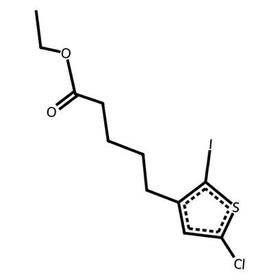 CCOC(=O)CCCCc1cc(Cl)sc1I